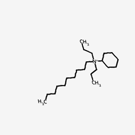 CCCCCCCCCC[N+](CCC)(CCC)C1CCCCC1